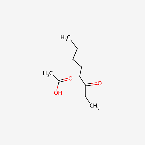 CC(=O)O.CCCCCC(=O)CC